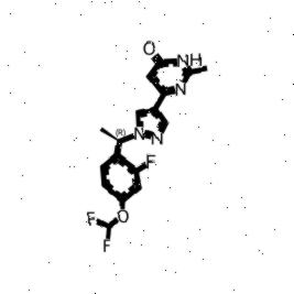 Cc1nc(-c2cnn([C@H](C)c3ccc(OC(F)F)cc3F)c2)cc(=O)[nH]1